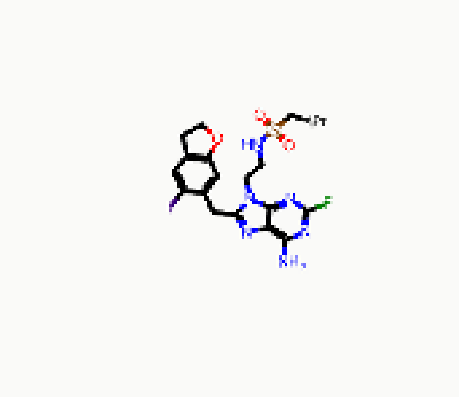 CC(C)CS(=O)(=O)NCCn1c(Cc2cc3c(cc2I)CCO3)nc2c(N)nc(F)nc21